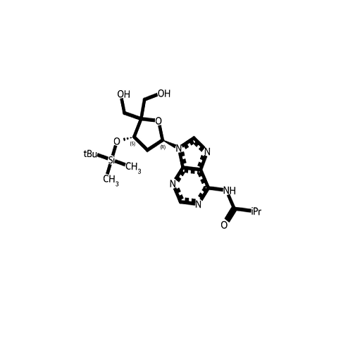 CC(C)C(=O)Nc1ncnc2c1ncn2[C@H]1C[C@H](O[Si](C)(C)C(C)(C)C)C(CO)(CO)O1